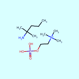 CCCC(C)(C)N.C[N+](C)(C)CCOP(=O)(O)O